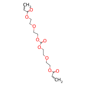 C=CC(=O)OCCOCCOC(=O)OCCOCCOC(=O)C=C